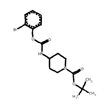 CC(C)(C)OC(=O)N1CCC(NC(=O)Oc2ccccc2Br)CC1